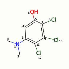 CN(C)c1cc(O)c(Cl)c(Cl)c1Cl